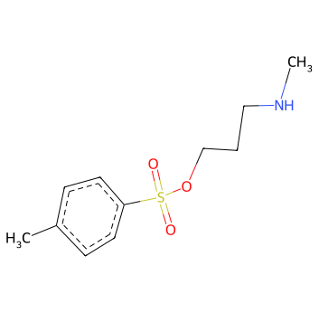 CNCCCOS(=O)(=O)c1ccc(C)cc1